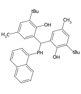 Cc1cc(C(Pc2cccc3ccccc23)c2cc(C)cc(C(C)(C)C)c2O)c(O)c(C(C)(C)C)c1